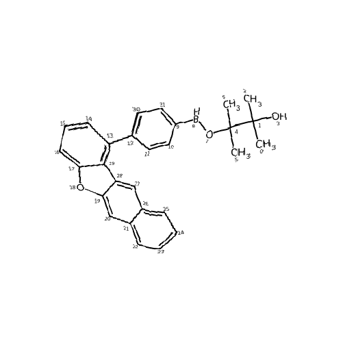 CC(C)(O)C(C)(C)OBc1ccc(-c2cccc3oc4cc5ccccc5cc4c23)cc1